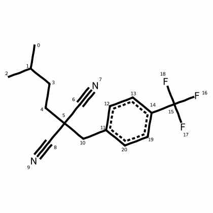 CC(C)CCC(C#N)(C#N)Cc1ccc(C(F)(F)F)cc1